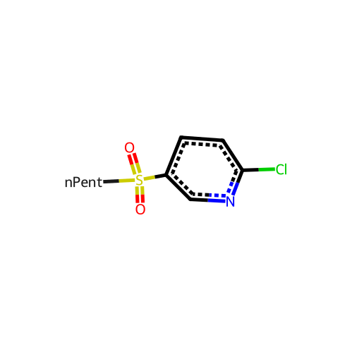 CCCCCS(=O)(=O)c1ccc(Cl)nc1